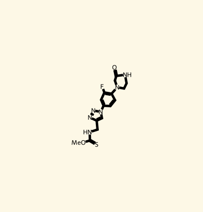 COC(=S)NCc1cn(-c2ccc(N3CCNC(=O)C3)c(F)c2)nn1